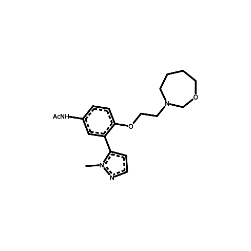 CC(=O)Nc1ccc(OCCN2CCCCOC2)c(-c2ccnn2C)c1